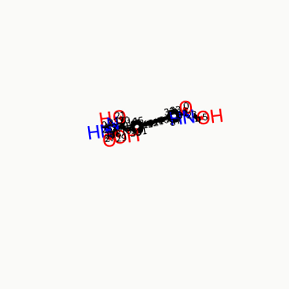 O=C(NCCO)c1ccc(C#CC#Cc2ccc(CC(CO)c3nc[nH]c(=O)c3O)cc2)cc1